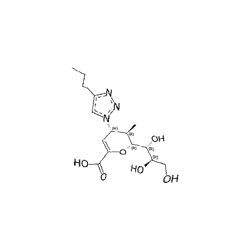 CCCc1cn([C@H]2C=C(C(=O)O)O[C@@H]([C@H](O)[C@H](O)CO)[C@@H]2C)nn1